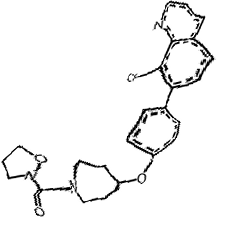 O=C(N1CCC(Oc2ccc(-c3ccc4cccnc4c3Cl)cc2)CC1)N1CCCO1